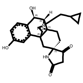 O=C1CC(=O)[C@@]2(CC[C@@]3(O)[C@H]4[C@H](O)c5ccc(O)cc5[C@@]3(CCN4CC3CC3)C2)N1